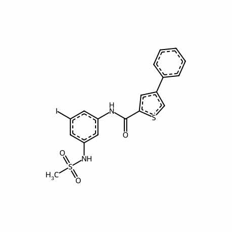 CS(=O)(=O)Nc1cc(I)cc(NC(=O)c2cc(-c3ccccc3)cs2)c1